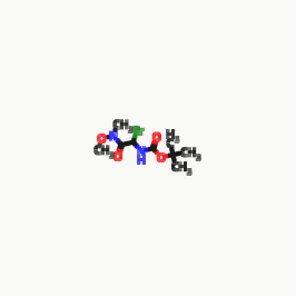 CON(C)C(=O)C(Br)NC(=O)OC(C)(C)C